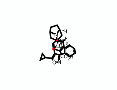 O=C(O)c1ccc(N2C3CC[C@H]2CC(OCc2c(-c4ccccc4OC(F)(F)F)noc2C2CC2)C3)c(F)c1